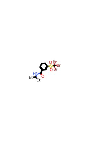 CCC(CC)NC(=O)C1=CCCC(S(=O)(=O)C(Br)(Br)Br)=C1